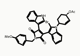 COc1ccc(CN2C(=O)C(c3c[nH]c4ccccc34)=C(c3c(Br)n(C4C=C[C@H](OC(C)=O)CC4)c4ccccc34)C2=O)cc1